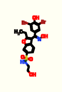 CCc1oc2cc(S(=O)(=O)NCCO)ccc2c1C(=NO)c1cc(Br)c(O)c(Br)c1